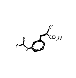 CCC(=Cc1cccc(OC(F)F)c1)C(=O)O